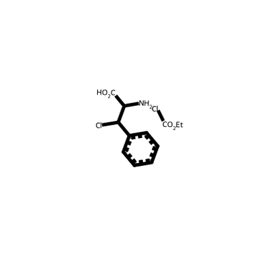 CCOC(=O)Cl.NC(C(=O)O)C(Cl)c1ccccc1